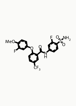 COc1ccc(Oc2ccc(C(F)(F)F)cc2C(=O)Nc2ccc(S(N)(=O)=O)c(F)c2)cc1F